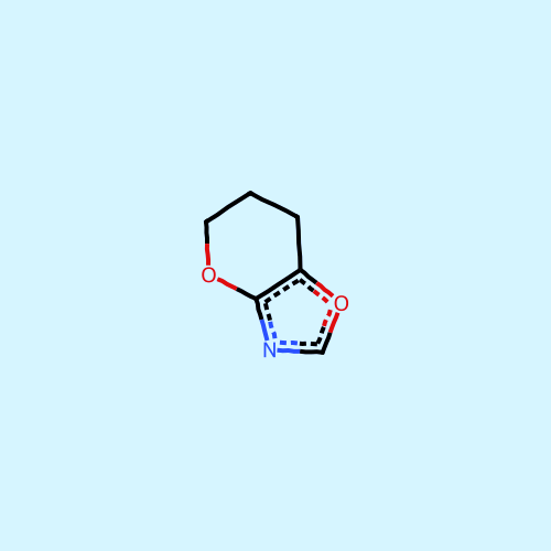 c1nc2c(o1)CCCO2